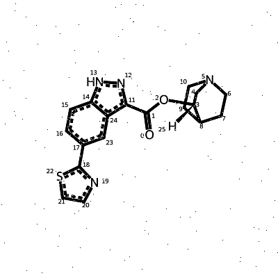 O=C(O[C@@H]1CN2CCC1CC2)c1n[nH]c2ccc(-c3nccs3)cc12